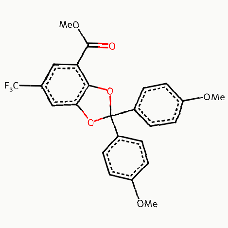 COC(=O)c1cc(C(F)(F)F)cc2c1OC(c1ccc(OC)cc1)(c1ccc(OC)cc1)O2